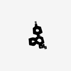 CN1CCN(c2ccc(I)cc2)c2ccccc21